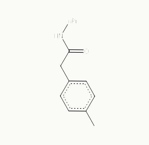 CCCNC(=O)Cc1ccc(C)cc1